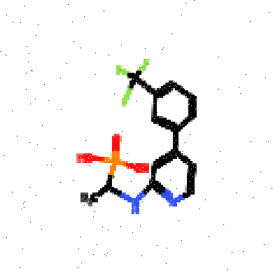 CC(Nc1cc(-c2cccc(C(F)(F)F)c2)ccn1)P(=O)(O)O